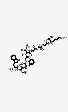 CNCCCC[C@H](NC(=O)CNC(=O)CNC(=O)CNC(=O)[C@@H](NC(=O)CNC(=O)[C@H](Cc1ccccc1)NC(=O)[C@H](CC(C)C)NC(=O)[C@@H](C)Cc1c[nH]c2ccccc12)C(C)O)C(N)=O